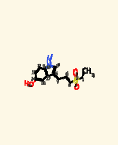 CCS(=O)(=O)CCCc1c[nH]c2ccc(O)cc12